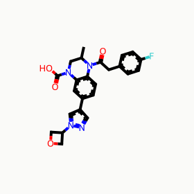 CC1CN(C(=O)O)c2cc(-c3cnn(C4COC4)c3)ccc2N1C(=O)Cc1ccc(F)cc1